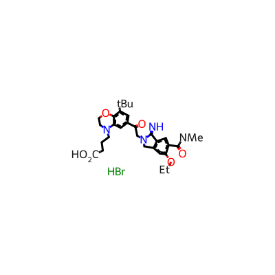 Br.CCOc1cc2c(cc1C(=O)NC)C(=N)N(CC(=O)c1cc3c(c(C(C)(C)C)c1)OCCN3CCCC(=O)O)C2